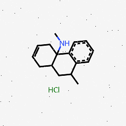 CNC12CC=CCC1CC(C)c1ccccc12.Cl